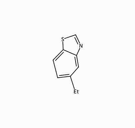 [CH2]Cc1ccc2scnc2c1